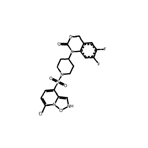 O=C1OCc2cc(F)c(F)cc2N1C1CCN(S(=O)(=O)C2=CC=C(Cl)N3ONC=C23)CC1